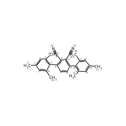 Cc1cc(C)c(-c2ccc(-c3c(C)cc(C)cc3C)c(C#N)c2C#N)c(C)c1